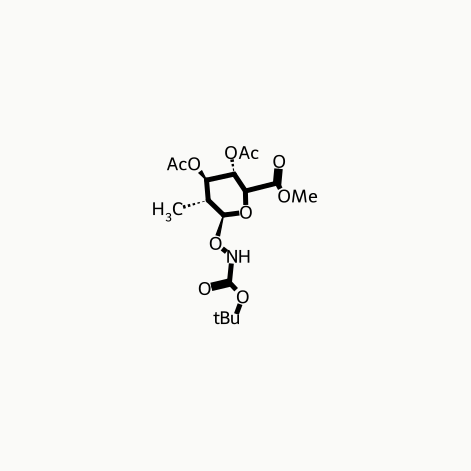 COC(=O)C1O[C@@H](ONC(=O)OC(C)(C)C)[C@H](C)[C@@H](OC(C)=O)[C@@H]1OC(C)=O